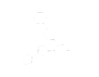 CCCn1c(=O)c2[nH]c(C3CCCC3)nc2n(CCC2CCCCC2)c1=O